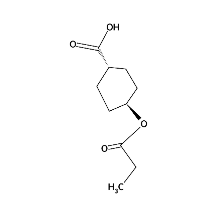 CCC(=O)O[C@H]1CC[C@H](C(=O)O)CC1